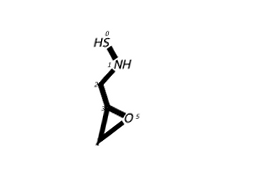 SNCC1CO1